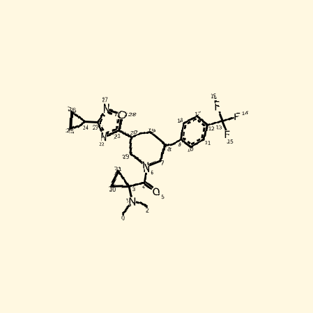 CN(C)C1(C(=O)N2CC(c3ccc(C(F)(F)F)cc3)CC(c3nc(C4CC4)no3)C2)CC1